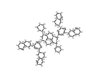 c1ccc(-c2cc(-c3nc(-c4ccc5cccnc5c4)nc(-c4ccc5cccnc5c4)n3)c3ccc4c(-c5ccccc5)cc(-c5nc(-c6ccc7cccnc7c6)nc(-c6ccc7cccnc7c6)n5)c5ccc2c3c45)cc1